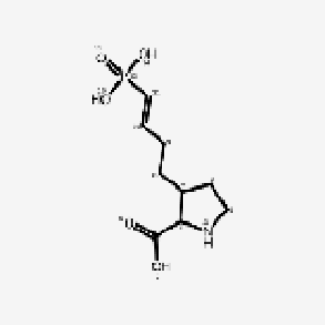 O=C(O)C1NCCC1CCC=CP(=O)(O)O